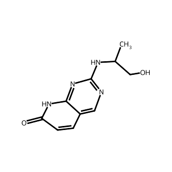 CC(CO)Nc1ncc2ccc(=O)[nH]c2n1